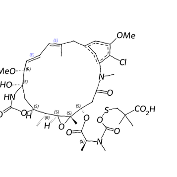 COc1cc2cc(c1Cl)N(C)C(=O)C[C@H](OC(=O)[C@H](C)N(C)C(=O)OSCC(C)(C)C(=O)O)[C@]1(C)O[C@H]1[C@H](C)[C@@H]1C[C@@](O)(NC(=O)O1)[C@H](OC)/C=C/C=C(\C)C2